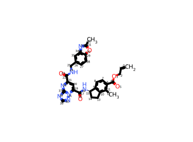 C=CCOC(=O)c1ccc2c(c1C)CC[C@@H]2NC(=O)c1cc(C(=O)NCc2ccc3oc(C)nc3c2)nc2ncnn12